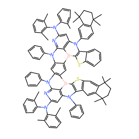 Cc1ccccc1N(c1cc2c3c(n1)N(c1ccccc1)c1cc4c(cc1B3c1sc3ccccc3c1N2c1ccc2c(c1)C(C)(C)CCC2(C)C)B1c2sc3cc5c(cc3c2N(c2ccccc2)c2cc(N(c3ccccc3C)c3c(C)cccc3C)nc(c21)N4c1ccccc1)C(C)(C)CCC5(C)C)c1c(C)cccc1C